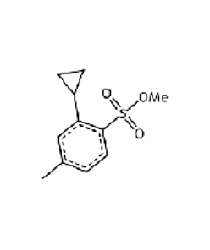 COS(=O)(=O)c1ccc(C)cc1C1CC1